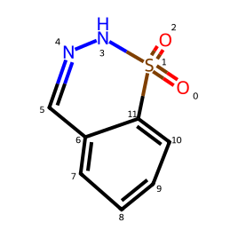 O=S1(=O)NN=Cc2ccccc21